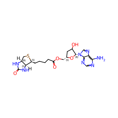 Nc1ncnc2c1ncn2[C@@H]1O[C@H](COC(=O)CCCC[C@@H]2SC[C@@H]3NC(=O)N[C@@H]32)CC1O